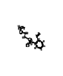 C=Cc1ccccc1C(=O)OCCOCCC